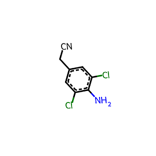 N#CCc1cc(Cl)c(N)c(Cl)c1